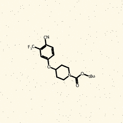 CC(C)(C)OC(=O)N1CCC(Oc2ccc(C#N)c(C(F)(F)F)c2)CC1